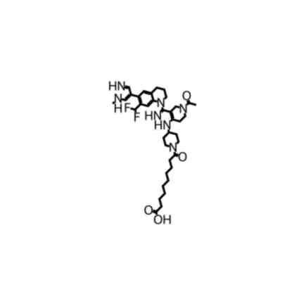 CN/C=C(\C=N)c1cc2c(cc1C(F)F)N(C(=N)C1=C(NC3CCN(C(=O)CCCCCCCCC(=O)O)CC3)CCN(C(C)=O)C1)CCC2